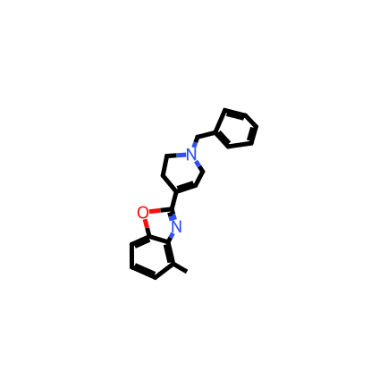 Cc1cccc2oc(C3=CCN(Cc4ccccc4)CC3)nc12